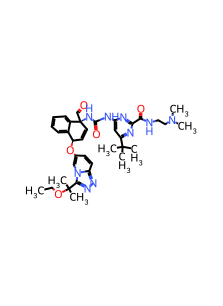 CCOC(C)(C)c1nnc2ccc(O[C@@H]3C=C[C@](C=O)(NC(=O)Nc4cc(C(C)(C)C)nc(C(=O)NCCN(C)C)n4)c4ccccc43)cn12